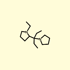 CCN1CCCC1C(CC)(CC)N1CCCC1